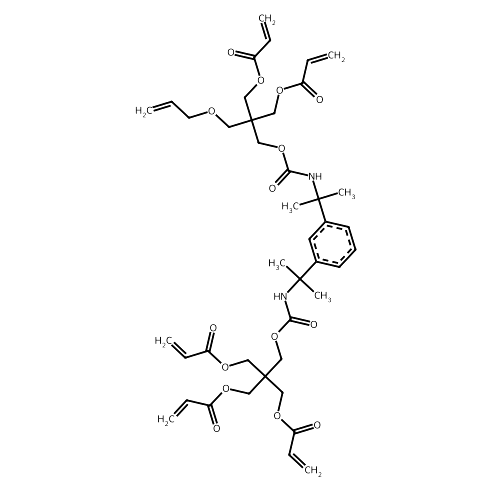 C=CCOCC(COC(=O)C=C)(COC(=O)C=C)COC(=O)NC(C)(C)c1cccc(C(C)(C)NC(=O)OCC(COC(=O)C=C)(COC(=O)C=C)COC(=O)C=C)c1